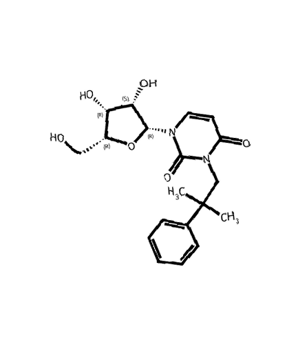 CC(C)(Cn1c(=O)ccn([C@@H]2O[C@H](CO)[C@H](O)[C@@H]2O)c1=O)c1ccccc1